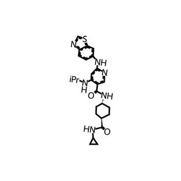 CC(C)Nc1cc(Nc2ccc3ncsc3c2)ncc1C(=O)N[C@H]1CC[C@H](C(=O)NC2CC2)CC1